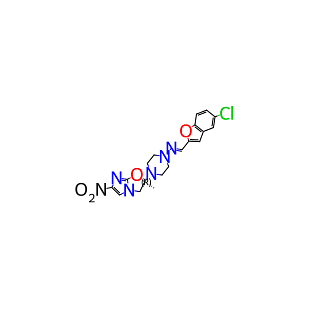 C[C@]1(N2CCN(N=Cc3cc4cc(Cl)ccc4o3)CC2)Cn2cc([N+](=O)[O-])nc2O1